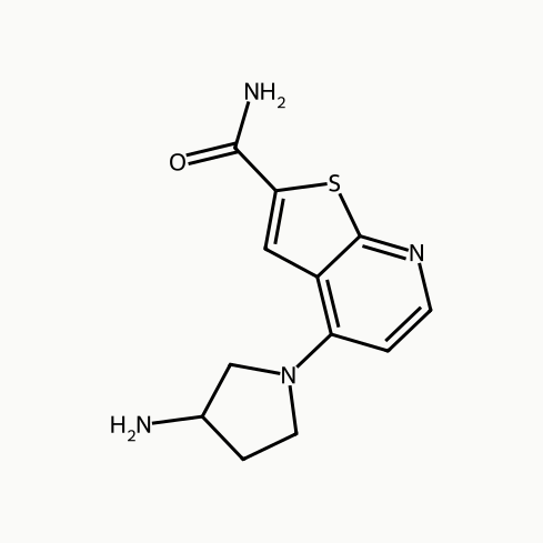 NC(=O)c1cc2c(N3CCC(N)C3)ccnc2s1